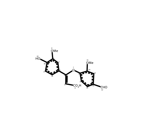 COc1cc(/C(=C/C(=O)O)Oc2ccc(C=O)cc2OC)ccc1O